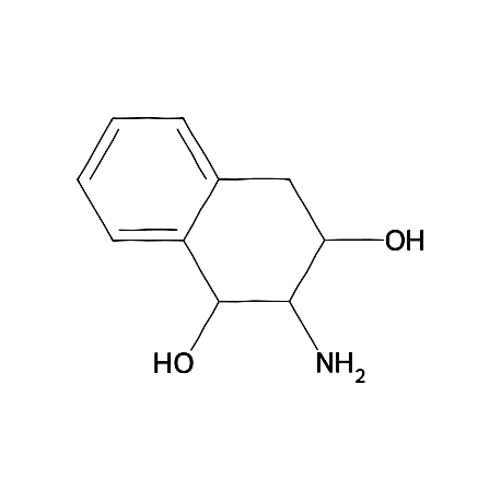 NC1C(O)Cc2ccccc2C1O